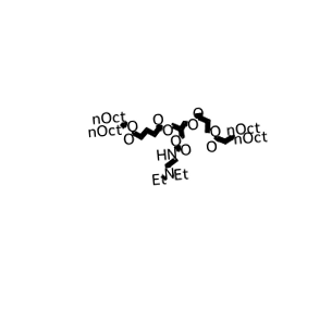 CCCCCCCCC(CCCCCCCC)CC(=O)OCCC(=O)OCC(COC(=O)CCCC(=O)OC(CCCCCCCC)CCCCCCCC)COC(=O)NCCN(CC)CC